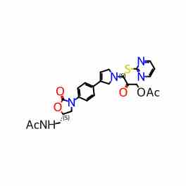 CC(=O)NC[C@H]1CN(c2ccc(C3=CCN([C@@H](Sc4ncccn4)C(=O)COC(C)=O)C3)cc2)C(=O)O1